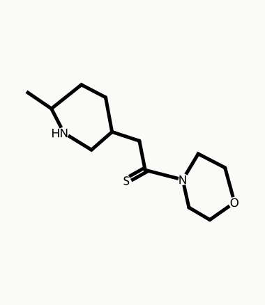 CC1CCC(CC(=S)N2CCOCC2)CN1